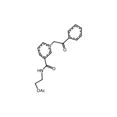 CC(=O)OCCNC(=O)c1ccc[n+](CC(=O)c2ccccc2)c1